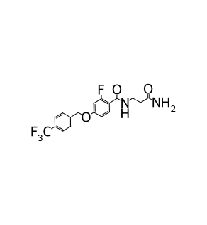 NC(=O)CCNC(=O)c1ccc(OCc2ccc(C(F)(F)F)cc2)cc1F